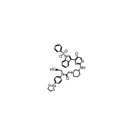 C#CCN(C(=O)CN1CCCC(Nc2ncc(Cl)c(-c3cn(S(=O)(=O)c4ccccc4)c4ccccc34)n2)C1)c1ccc([As]2SCCS2)cc1